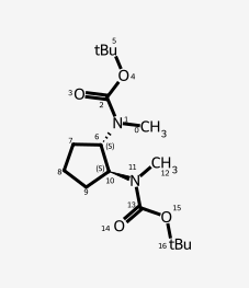 CN(C(=O)OC(C)(C)C)[C@H]1CCC[C@@H]1N(C)C(=O)OC(C)(C)C